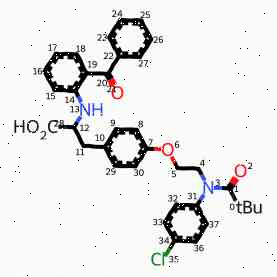 CC(C)(C)C(=O)N(CCOc1ccc(CC(Nc2ccccc2C(=O)c2ccccc2)C(=O)O)cc1)c1ccc(Cl)cc1